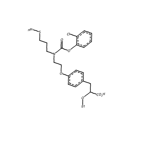 CCCSCCCN(CCOc1ccc(CC(OCC)C(=O)O)cc1)C(=O)Oc1ccccc1Cl